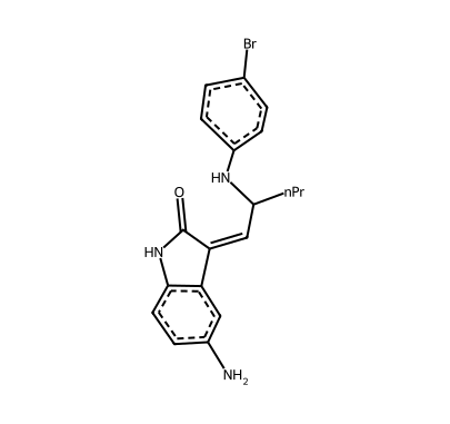 CCCC(C=C1C(=O)Nc2ccc(N)cc21)Nc1ccc(Br)cc1